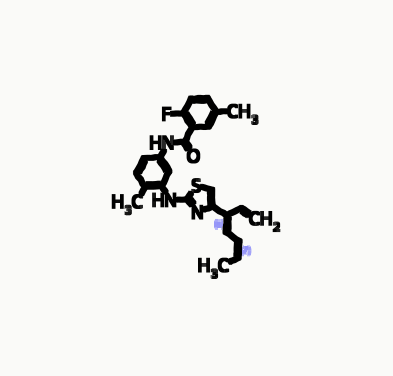 C=C/C(=C\C=C/C)c1csc(Nc2cc(NC(=O)c3cc(C)ccc3F)ccc2C)n1